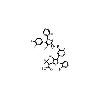 CC(C)(C)N(C(=O)O)c1nn(-c2ccccc2F)c(-c2ccc(F)c(F)c2)c1Br.Nc1nn(-c2ccccc2F)c(-c2ccc(F)c(F)c2)c1Br